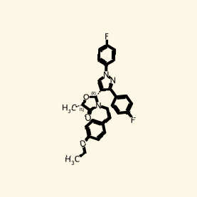 CCOc1ccc(CCN2C(=O)[C@H](C)O[C@@H]2c2cn(-c3ccc(F)cc3)nc2-c2ccc(F)cc2)cc1